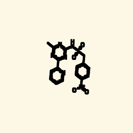 Cc1nc(NS(=O)(=O)Cc2ccc([N+](=O)[O-])cc2)nc(-c2ccccn2)n1